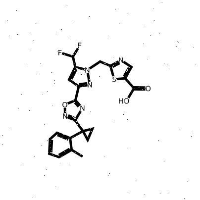 Cc1ccccc1C1(c2noc(-c3cc(C(F)F)n(Cc4ncc(C(=O)O)s4)n3)n2)CC1